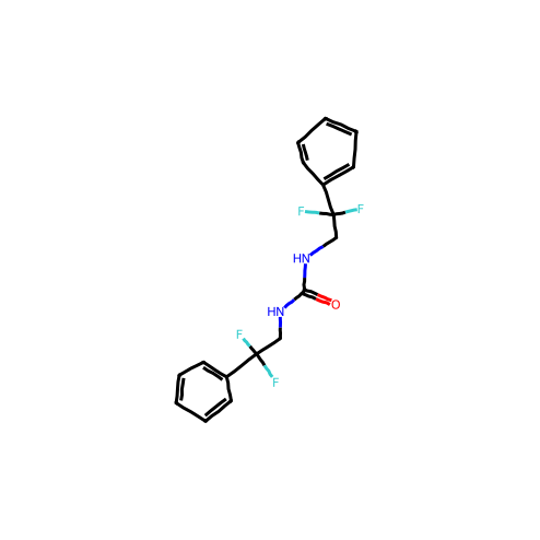 O=C(NCC(F)(F)c1ccccc1)NCC(F)(F)c1ccccc1